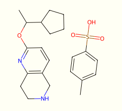 CC(Oc1ccc2c(n1)CCNC2)C1CCCC1.Cc1ccc(S(=O)(=O)O)cc1